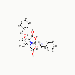 O=C1C[N+]2([C@@H]3CCC[C@H]3OCc3ccccc3)CC(=O)O[B-]2(/C=C/c2ccccc2)O1